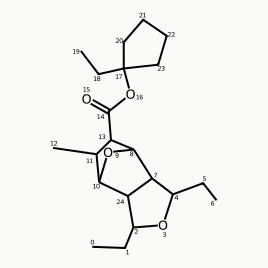 CCC1OC(CC)C2C3OC(C(C)C3C(=O)OC3(CC)CCCC3)C12